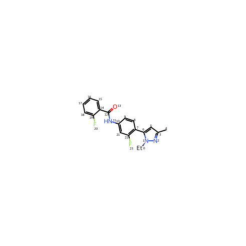 CCn1nc(C)cc1-c1ccc(NC(=O)c2ccccc2F)cc1F